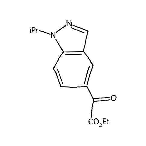 CCOC(=O)C(=O)c1ccc2c(cnn2C(C)C)c1